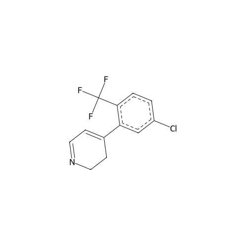 FC(F)(F)c1ccc(Cl)cc1C1=CC=NCC1